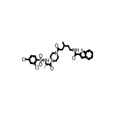 CC(CCNC(=O)c1cc2ccccc2s1)CC(=O)N1CCN(C(=O)[C@H](C)NS(=O)(=O)c2ccc(Cl)cc2Cl)CC1